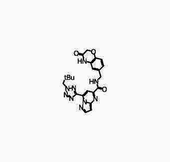 CC(C)(C)Cn1nnc(-c2cc(C(=O)NCc3ccc4c(c3)NC(=O)CO4)nc3ccnn23)n1